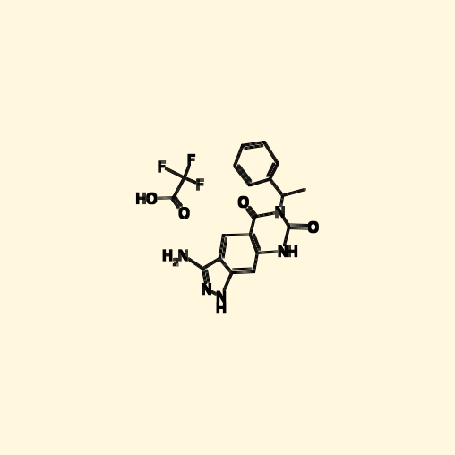 CC(c1ccccc1)n1c(=O)[nH]c2cc3[nH]nc(N)c3cc2c1=O.O=C(O)C(F)(F)F